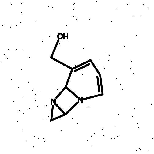 OCC1=CC=CN2C3CN3C12